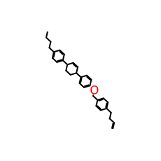 C=CCCc1ccc(COc2ccc(C3C=CC(c4ccc(CCCC)cc4)CC3)cc2)cc1